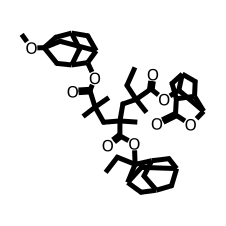 CCC(C)(CC(C)(CC(C)(C)C(=O)OC1C2CC3CC1CC(OC)(C3)C2)C(=O)OC1(CC)C2CC3CC(C2)CC1C3)C(=O)OC1C2CC3C(=O)OC1C3C2